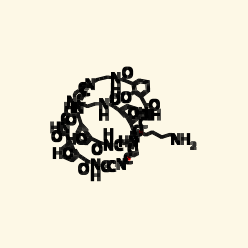 NCCCCC1CNC(=O)c2cccc(c2O)C(=O)NCCN2CCNC(=O)c3cccc(c3O)C(=O)NCCN1CCN1CCNC(=O)c3cccc(c3O)C(=O)NCCN(CCNC(=O)c3cccc(c3O)C(=O)NCC1)CC2